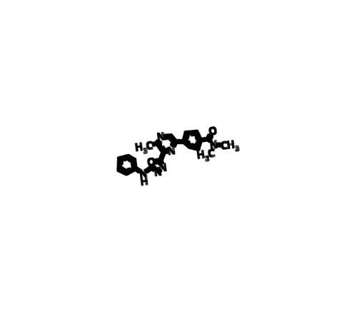 Cc1ncc(-c2ccc(C(=O)N(C)C)cc2)nc1-c1nnc(Nc2ccccc2)o1